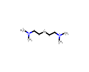 CN(C)C[CH2][Sn][CH2]CN(C)C